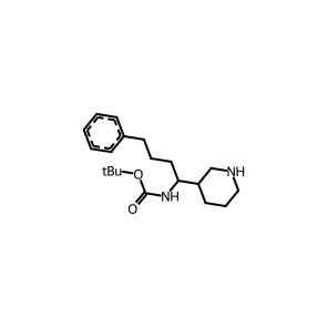 CC(C)(C)OC(=O)NC(CCCc1ccccc1)C1CCCNC1